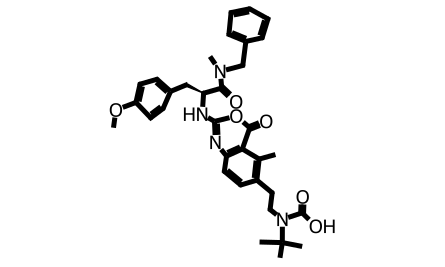 COc1ccc(C[C@H](Nc2nc3ccc(CCN(C(=O)O)C(C)(C)C)c(C)c3c(=O)o2)C(=O)N(C)Cc2ccccc2)cc1